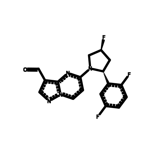 O=Cc1cnn2ccc(N3C[C@@H](F)C[C@@H]3c3cc(F)ccc3F)nc12